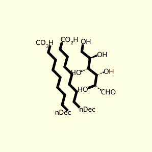 CCCCCCCCCCCCCCCCCC(=O)O.CCCCCCCCCCCCCCCCCC(=O)O.O=C[C@H](O)[C@@H](O)[C@H](O)[C@H](O)CO